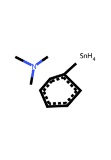 CN(C)C.Cc1ccccc1.[SnH4]